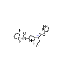 CC/C(=N\Oc1cccnn1)c1ccc(NC(=O)c2c(F)cccc2F)nc1